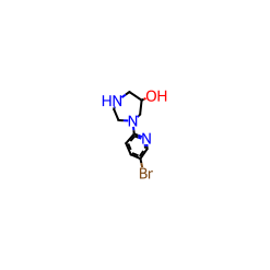 OC1CNCCN(c2ccc(Br)cn2)C1